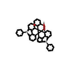 c1ccc(-n2c3cccc4c3c3c(cccc32)C23c5cccc6c5c5c(cccc5n6-c5ccccc5)C25c2ccccc2-c2ccccc2C453)cc1